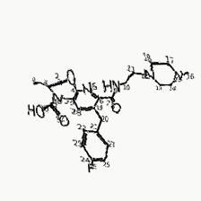 C[C@H]1COc2nc(C(=O)NCCN3CCN(C)CC3)c(Cc3ccc(F)cc3)cc2N1C(=O)O